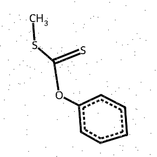 CSC(=S)Oc1ccccc1